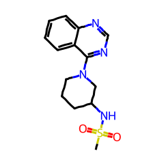 CS(=O)(=O)NC1CCCN(c2ncnc3ccccc23)C1